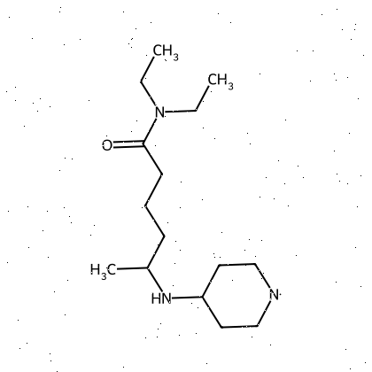 CCN(CC)C(=O)CCCC(C)NC1CC[N]CC1